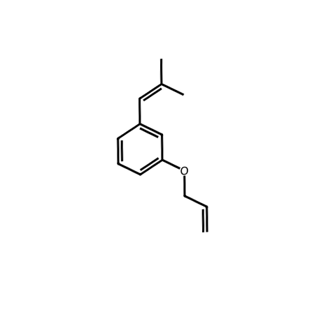 C=CCOc1cccc(C=C(C)C)c1